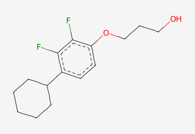 OCCCOc1ccc(C2CCCCC2)c(F)c1F